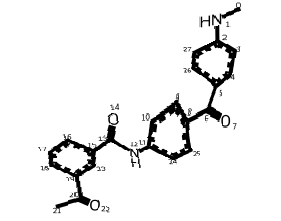 CNc1ccc(C(=O)c2ccc(NC(=O)c3cccc(C(C)=O)c3)cc2)cc1